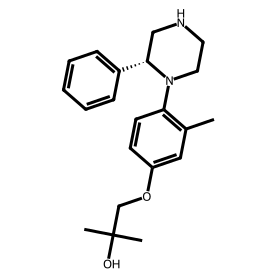 Cc1cc(OCC(C)(C)O)ccc1N1CCNC[C@H]1c1ccccc1